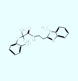 Cn1c(CCNC(=O)C(C)(C)Oc2ccccc2Cl)nc2ccccc21